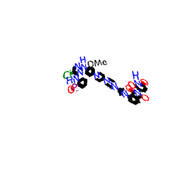 COc1cc(N2CCC(N3CCN(C4CN(c5cccc6c5C(=O)N(C5CCC(=O)NC5=O)C6=O)C4)CC3)CC2)ccc1Nc1ncc(Cl)c(Nc2ccccc2P(C)(C)=O)n1